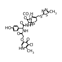 Cc1nnc(SCC2=C(C(=O)O)N3C(=O)C(NC(=O)C(NC(=O)COc4c[nH]c(C)c(Cl)c4=O)c4ccc(O)cc4)[C@H]3SC2)s1